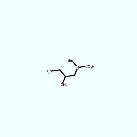 CC(CN)CN(C(=O)O)C(C)(C)C